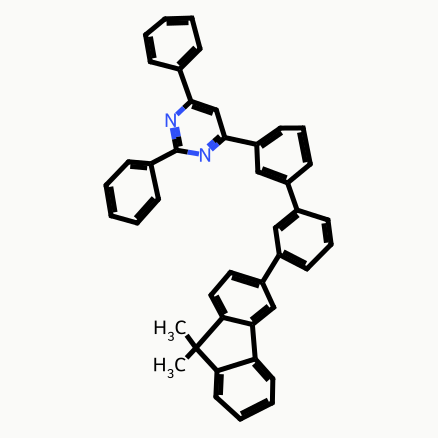 CC1(C)c2ccccc2-c2cc(-c3cccc(-c4cccc(-c5cc(-c6ccccc6)nc(-c6ccccc6)n5)c4)c3)ccc21